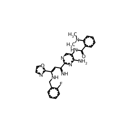 CN(C)c1ccccc1C(=O)Nc1cnc(C(=N)/C=C(\NCc2ccccc2F)c2ncco2)nc1N